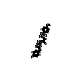 COc1ccc(S(=O)(=O)NCC(C)Nc2nc(Cc3ccc(F)cc3)ns2)cc1